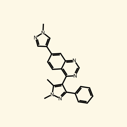 Cc1c(-c2ncnc3cc(-c4cnn(C)c4)ccc23)c(-c2ccccc2)nn1C